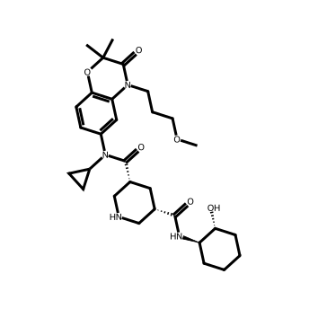 COCCCN1C(=O)C(C)(C)Oc2ccc(N(C(=O)[C@H]3CNC[C@@H](C(=O)N[C@@H]4CCCC[C@H]4O)C3)C3CC3)cc21